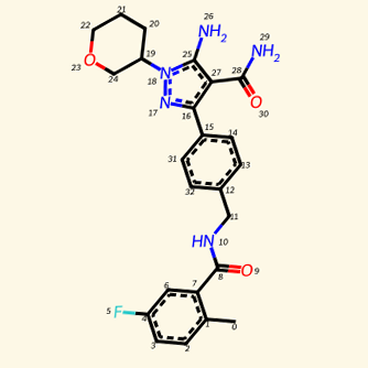 Cc1ccc(F)cc1C(=O)NCc1ccc(-c2nn(C3CCCOC3)c(N)c2C(N)=O)cc1